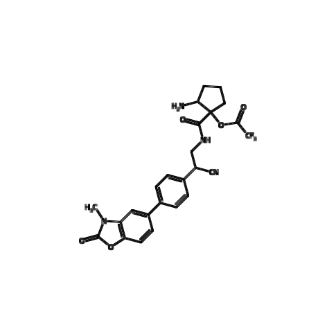 Cn1c(=O)oc2ccc(-c3ccc(C(C#N)CNC(=O)C4(OC(=O)C(F)(F)F)CCCC4N)cc3)cc21